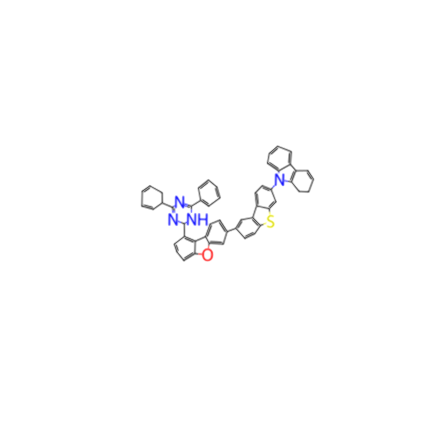 C1=CCC(C2=NC(c3cccc4oc5cc(-c6ccc7sc8cc(-n9c%10c(c%11ccccc%119)C=CCC%10)ccc8c7c6)ccc5c34)NC(c3ccccc3)=N2)C=C1